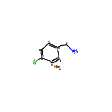 Br.NCc1ccc(Cl)cc1